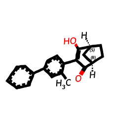 Cc1cc(-c2ccccc2)ccc1C1=C(O)[C@H]2CC[C@H](C2)C1=O